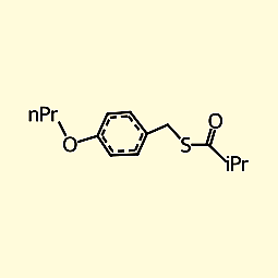 CCCOc1ccc(CSC(=O)C(C)C)cc1